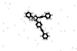 C(#Cc1ccc(C2NN(c3ccccc3)CC2C#Cc2ccccc2)cc1)c1ccccc1